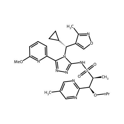 CCCO[C@@H](c1ncc(C)cn1)[C@H](C)S(=O)(=O)Nc1nnc(-c2cccc(OC)n2)n1[C@@H](c1conc1C)C1CC1